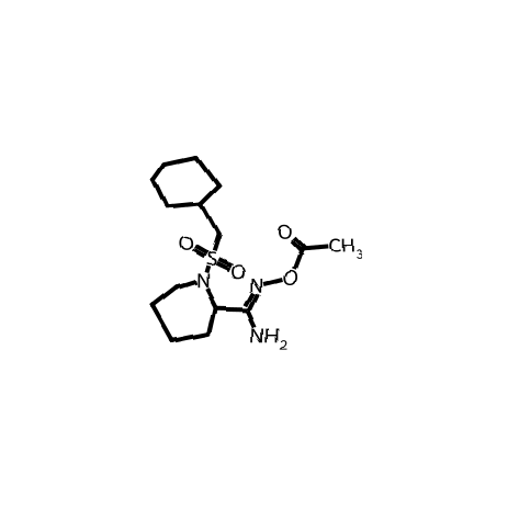 CC(=O)ON=C(N)C1CCCCN1S(=O)(=O)CC1CCCCC1